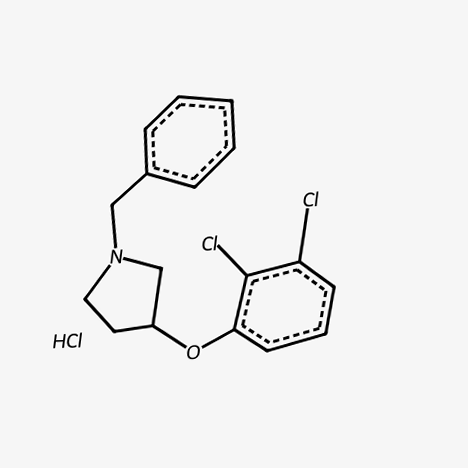 Cl.Clc1cccc(OC2CCN(Cc3ccccc3)C2)c1Cl